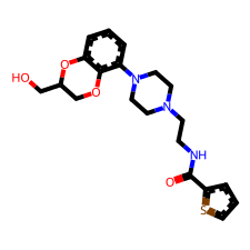 O=C(NCCN1CCN(c2cccc3c2OCC(CO)O3)CC1)c1cccs1